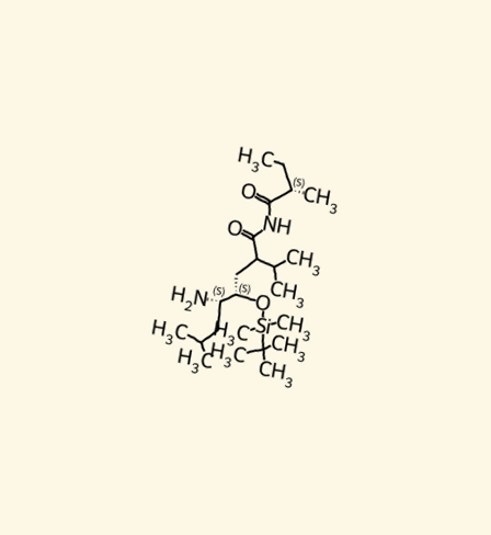 CC[C@H](C)C(=O)NC(=O)C(C[C@H](O[Si](C)(C)C(C)(C)C)[C@@H](N)CC(C)C)C(C)C